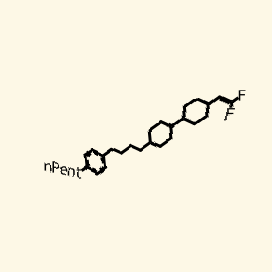 CCCCCc1ccc(CCCCC2CCC(C3CCC(C=C(F)F)CC3)CC2)cc1